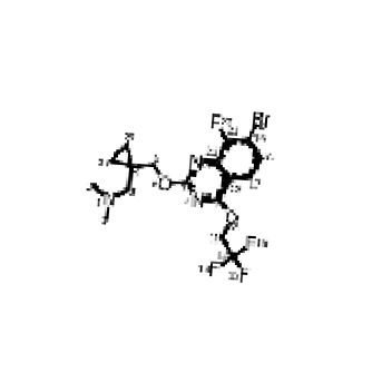 CN(C)CC1(COc2nc(OCC(F)(F)F)c3ccc(Br)c(F)c3n2)CC1